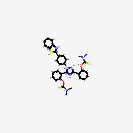 CN(C)C(=S)Oc1ccccc1-c1nc(-c2ccccc2OC(=S)N(C)C)n(-c2ccc(-c3nc4ccccc4s3)cc2)n1